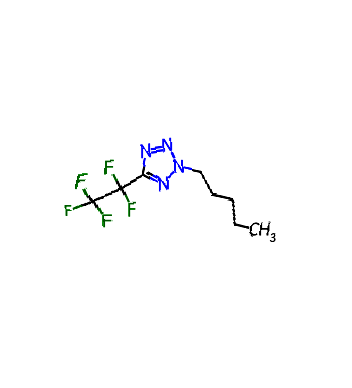 CCCCCn1nnc(C(F)(F)C(F)(F)F)n1